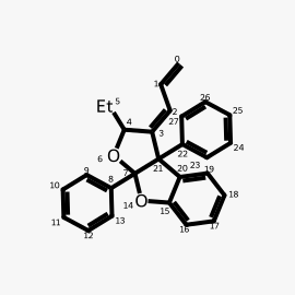 C=C/C=C1\C(CC)OC2(c3ccccc3)Oc3ccccc3C12c1ccccc1